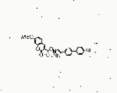 COc1ccc2cc(C(=O)On3cc(-c4ccc(-c5ccc(N)cc5)cc4)nn3)c(=O)oc2c1